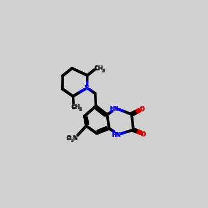 CC1CCCC(C)N1Cc1cc([N+](=O)[O-])cc2[nH]c(=O)c(=O)[nH]c12